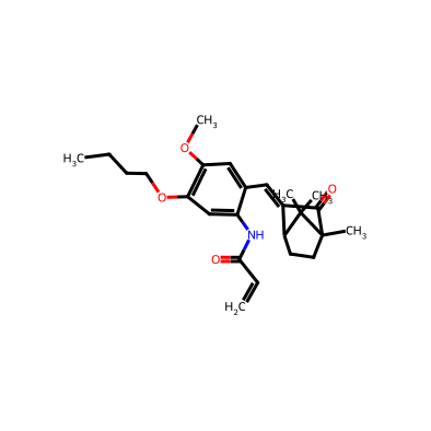 C=CC(=O)Nc1cc(OCCCC)c(OC)cc1C=C1C(=O)C2(C)CCC1C2(C)C